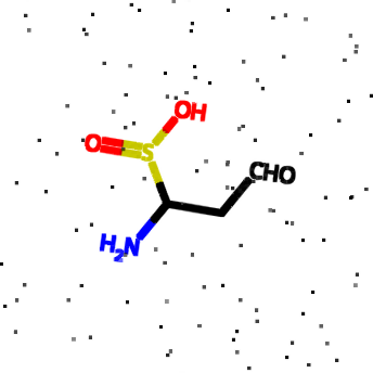 NC(CC=O)S(=O)O